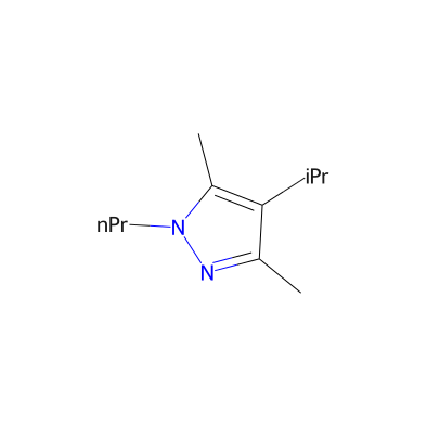 CCCn1nc(C)c(C(C)C)c1C